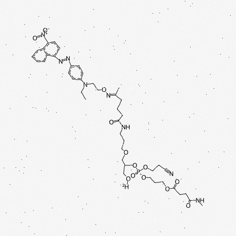 [2H]OCC(COCCCNC(=O)CCC/C(C)=N/OCCN(CC)c1ccc(/N=N/c2ccc([N+](=O)[O-])c3ccccc23)cc1)OP(=O)(OCCC#N)OCCCOC(=O)CCC(=O)NC